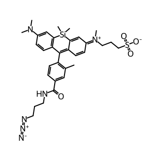 Cc1cc(C(=O)NCCCN=[N+]=[N-])ccc1C1=C2C=C/C(=[N+](/C)CCCS(=O)(=O)[O-])C=C2[Si](C)(C)c2cc(N(C)C)ccc21